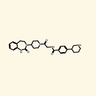 O=C(NCC(=O)N1CCC(N2CCc3ccccc3NC2=O)CC1)c1ccc(C2CCCNC2)cc1